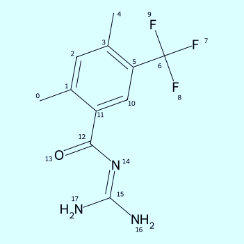 Cc1cc(C)c(C(F)(F)F)cc1C(=O)N=C(N)N